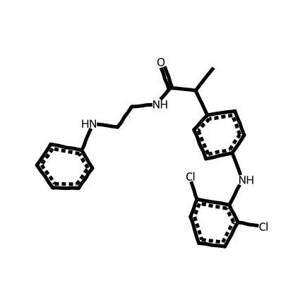 CC(C(=O)NCCNc1ccccc1)c1ccc(Nc2c(Cl)cccc2Cl)cc1